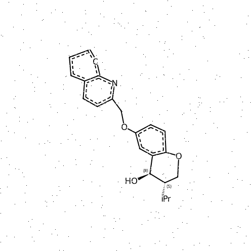 CC(C)[C@H]1COc2ccc(OCc3ccc4ccccc4n3)cc2[C@@H]1O